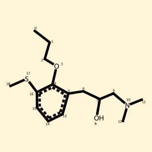 CCCOc1c(CC(O)CN(C)C)cccc1SC